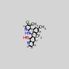 Cc1ccc(C(Nc2cc(C)c(Cl)cn2)c2ccc3cccnc3c2O)c(C(F)(F)F)c1